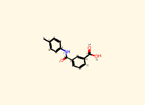 Cc1ccc(NC(=O)c2cccc(C(=O)O)c2)cc1